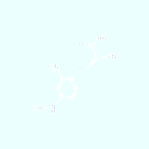 CC(C)(C)C(=O)C(C#N)=COc1ccc(NC=O)cc1[N+](=O)[O-]